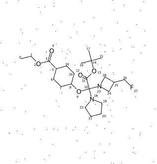 CCOC(=O)C1CCC(OC(C(=O)OC(C)(C)C)(N2CCCC2)N2CC(CF)C2)CC1